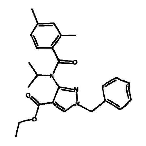 CCOC(=O)c1cn(Cc2ccccc2)nc1N(C(=O)c1ccc(C)cc1C)C(C)C